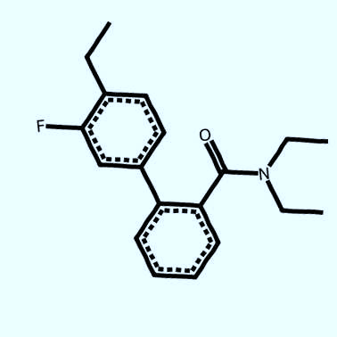 CCc1ccc(-c2ccccc2C(=O)N(CC)CC)cc1F